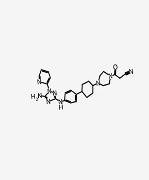 N#CCC(=O)N1CCN(C2CCC(c3ccc(Nc4nc(N)n(-c5ccccn5)n4)cc3)CC2)CC1